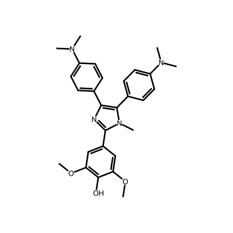 COc1cc(-c2nc(-c3ccc(N(C)C)cc3)c(-c3ccc(N(C)C)cc3)n2C)cc(OC)c1O